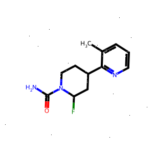 Cc1cccnc1C1CCN(C(N)=O)C(F)C1